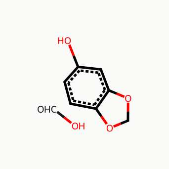 O=CO.Oc1ccc2c(c1)OCO2